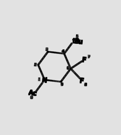 CC(=O)N1CCC(C(C)(C)C)C(F)(F)C1